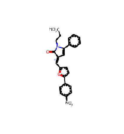 O=C(O)CCN1C(=O)/C(=C/c2ccc(-c3ccc([N+](=O)[O-])cc3)o2)C=C1c1ccccc1